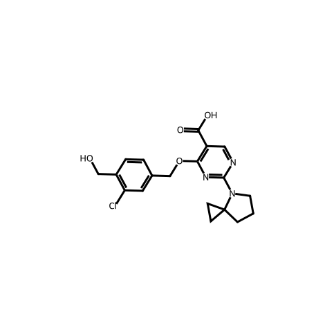 O=C(O)c1cnc(N2CCCC23CC3)nc1OCc1ccc(CO)c(Cl)c1